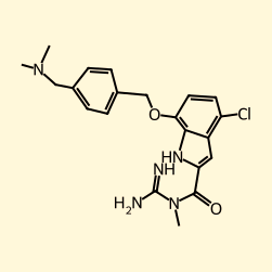 CN(C)Cc1ccc(COc2ccc(Cl)c3cc(C(=O)N(C)C(=N)N)[nH]c23)cc1